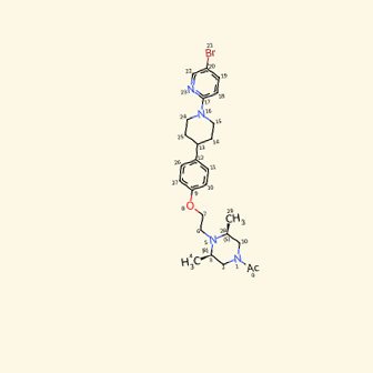 CC(=O)N1C[C@@H](C)N(CCOc2ccc(C3CCN(c4ccc(Br)cn4)CC3)cc2)[C@@H](C)C1